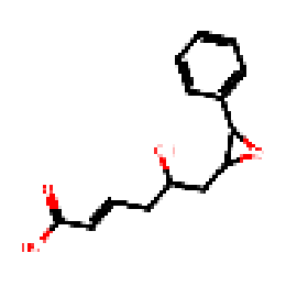 O=C(O)/C=C/CC(O)CC1OC1c1ccccc1